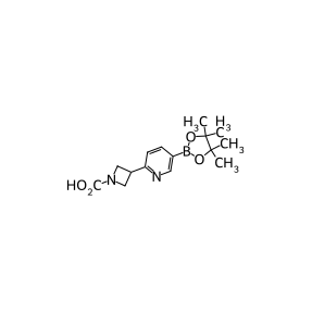 CC1(C)OB(c2ccc(C3CN(C(=O)O)C3)nc2)OC1(C)C